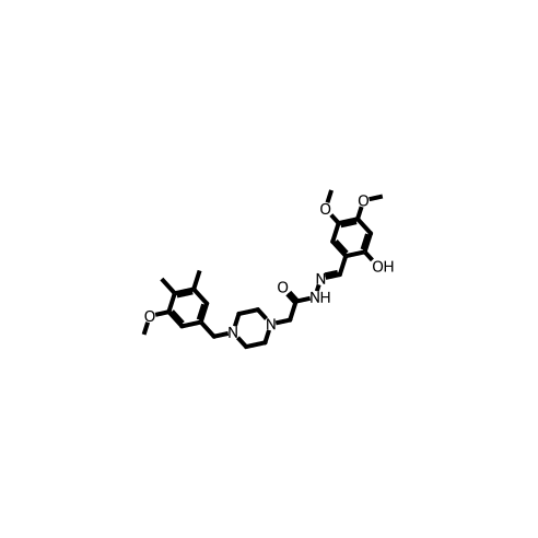 COc1cc(O)c(/C=N/NC(=O)CN2CCN(Cc3cc(C)c(C)c(OC)c3)CC2)cc1OC